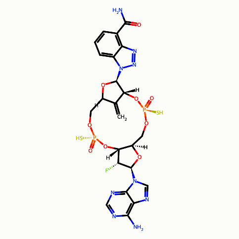 C=C1[C@H]2O[P@@](=O)(S)OC[C@H]3O[C@@H](n4cnc5c(N)ncnc54)[C@H](F)[C@@H]3O[P@](=O)(S)OC[C@H]1O[C@H]2n1nnc2c(C(N)=O)cccc21